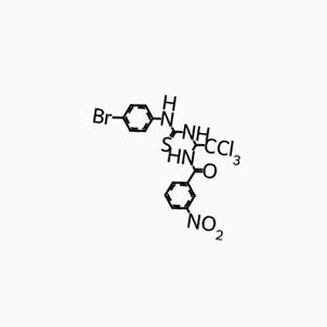 O=C(NC(NC(=S)Nc1ccc(Br)cc1)C(Cl)(Cl)Cl)c1cccc([N+](=O)[O-])c1